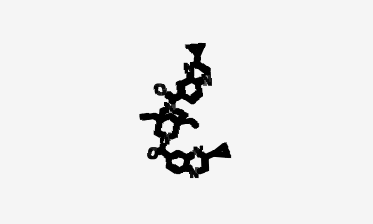 CCC12CN(C(=O)c3ccc4ncc(C5CC5)nc4c3)CC(CC)(CN(C(=O)c3ccc4ncc(C5CC5)nc4c3)C1)C2